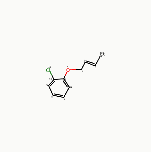 CC/C=C/COc1ccccc1Cl